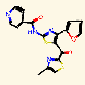 Cc1csc(C(=O)c2sc(NC(=O)c3ccncc3)nc2-c2ccco2)n1